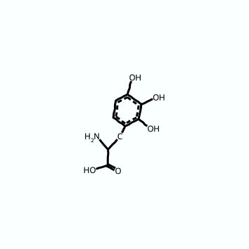 NC(Cc1ccc(O)c(O)c1O)C(=O)O